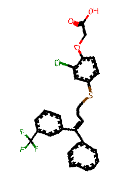 O=C(O)COc1ccc(SC/C=C(/c2ccccc2)c2cccc(C(F)(F)F)c2)cc1Cl